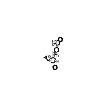 O=C(N[C@@H]1CN[C@H](c2ccccc2)CN(CC2CC2)C1=O)N1CCC(N2Cc3ccccc3NC2=O)CC1